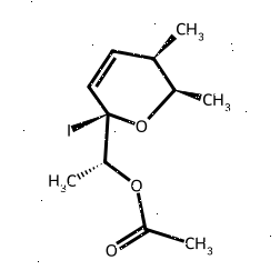 CC(=O)O[C@H](C)[C@]1(I)C=C[C@@H](C)[C@@H](C)O1